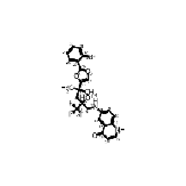 CC(C)(CC(O)(CNc1ccc2[nH]ccc(=O)c2c1)C(F)(F)F)C1=COC(c2ccccc2Br)O1